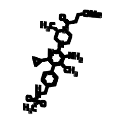 COCCC(=O)N1CCN(c2nc(C3CC3)c(-c3ccc(CNS(C)(=O)=O)cc3)c(C)c2N)C[C@H]1C